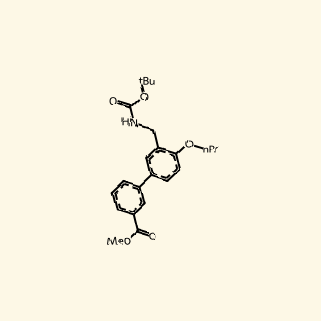 CCCOc1ccc(-c2cccc(C(=O)OC)c2)cc1CNC(=O)OC(C)(C)C